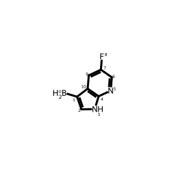 Bc1c[nH]c2ncc(F)cc12